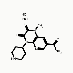 Cl.Cl.Cn1c(=O)c(=O)n(C2CCNCC2)c2ncc(C(N)=O)cc21